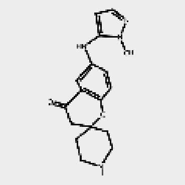 Cn1nccc1Nc1ccc2c(c1)C(=O)CC1(CCNCC1)O2